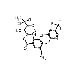 CCc1cc([N+](=O)[O-])c([PH](=O)OC(C)C(=O)C(C)(Cl)Cl)cc1Oc1ncc(C(F)(F)F)cc1Cl